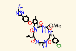 C=CC[C@@H]1CC(=O)N(Cc2ccc(C)cc2Oc2ccc(-c3cnc(CN(C)C)n3C)cc2)[C@@H](C)C(=O)N[C@@H](COC)C(=O)N(C)[C@@H](Cc2ccc(Cl)cc2)CC(=O)N[C@@H](C)[C@H](C)N(C)C1=O